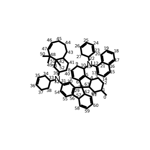 CC1CCC2C3=C(C=CCC3N(c3cccc4ccccc34)C3C=CC=CC3)C3(c4cc(N(C5CC=CCC5)C5CCC6CCC/C=C\C(C)(C)C6(C)C5)ccc4C4C=CC=CC43)C2C1